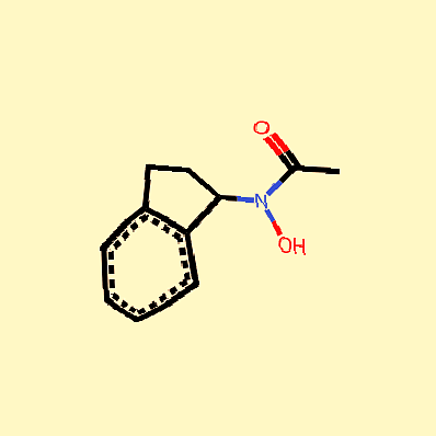 CC(=O)N(O)C1CCc2ccccc21